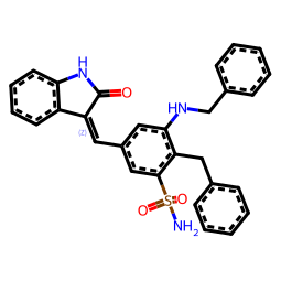 NS(=O)(=O)c1cc(/C=C2\C(=O)Nc3ccccc32)cc(NCc2ccccc2)c1Cc1ccccc1